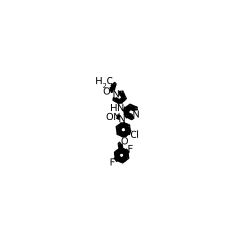 C=CC(=O)N1CCC(Nc2ccncc2N(N=O)c2ccc(OCc3cc(F)ccc3F)c(Cl)c2)C1